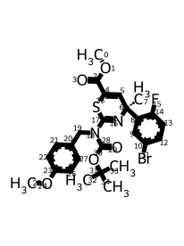 COC(=O)C1=C[C@@](C)(c2cc(Br)ccc2F)N=C(N(Cc2ccc(OC)cc2)C(=O)OC(C)(C)C)S1